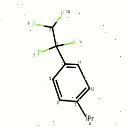 CC(C)c1ccc(C(F)(F)C(F)F)cc1